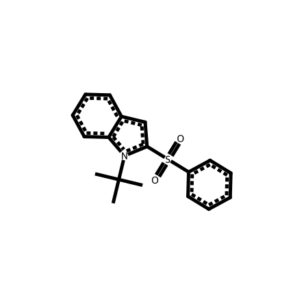 CC(C)(C)n1c(S(=O)(=O)c2ccccc2)cc2ccccc21